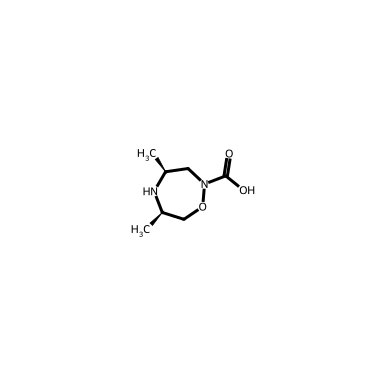 C[C@@H]1CON(C(=O)O)C[C@H](C)N1